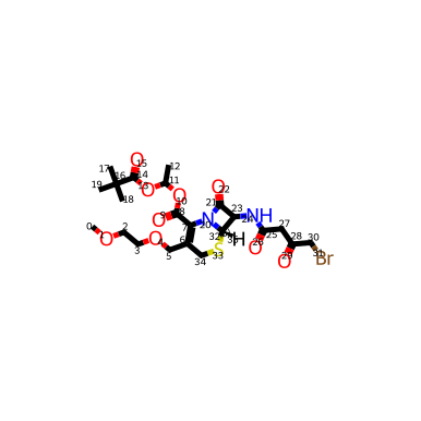 COCCOCC1=C(C(=O)OC(C)OC(=O)C(C)(C)C)N2C(=O)C(NC(=O)CC(=O)CBr)[C@@H]2SC1